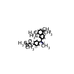 C/C=C(\c1ccc(SC(=O)N(C)C)cc1)c1ccc2c(c1)C(C)(C)CCC2(C)C